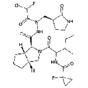 CCC(C)C(NC(=O)C1(F)CC1)C(=O)N1C[C@@H]2CCC[C@@H]2[C@H]1C(=O)NN(C[C@@H]1CCNC1=O)C(=O)C(F)Cl